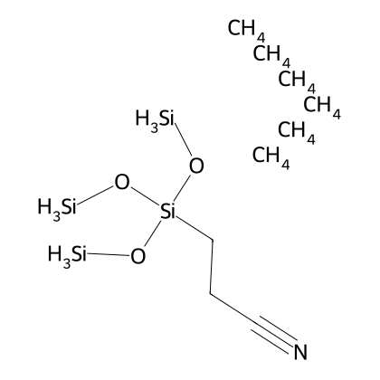 C.C.C.C.C.C.N#CCC[Si](O[SiH3])(O[SiH3])O[SiH3]